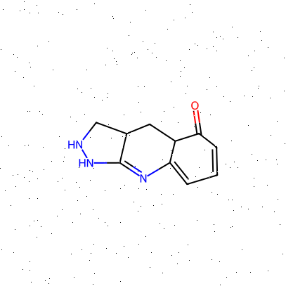 O=C1C=CC=C2N=C3NNCC3CC12